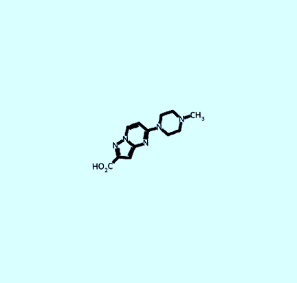 CN1CCN(c2ccn3nc(C(=O)O)cc3n2)CC1